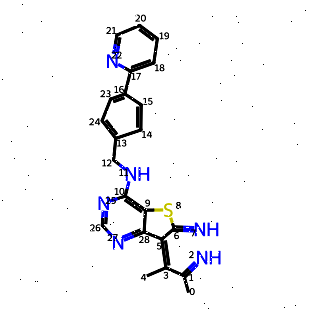 CC(=N)/C(C)=C1\C(=N)Sc2c(NCc3ccc(-c4ccccn4)cc3)ncnc21